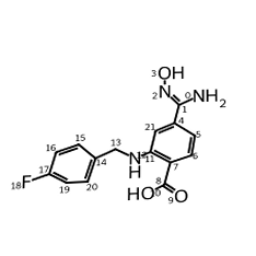 NC(=NO)c1ccc(C(=O)O)c(NCc2ccc(F)cc2)c1